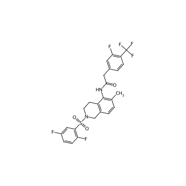 Cc1ccc2c(c1NC(=O)Cc1ccc(C(F)(F)F)c(F)c1)CCN(S(=O)(=O)c1cc(F)ccc1F)C2